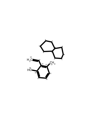 C1CCC2CCCCC2C1.C=Cc1c(C)cccc1O